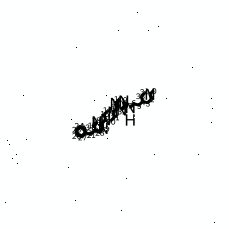 CN1CCC(CCNc2ncnc(N3CCN(c4ncc(Cc5ccccc5)cn4)CC3)n2)CC1